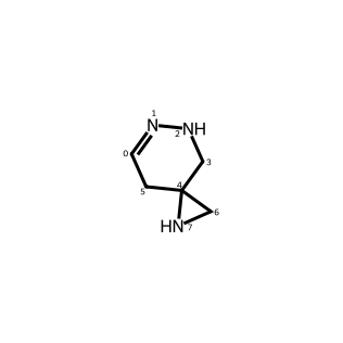 C1=NNCC2(C1)CN2